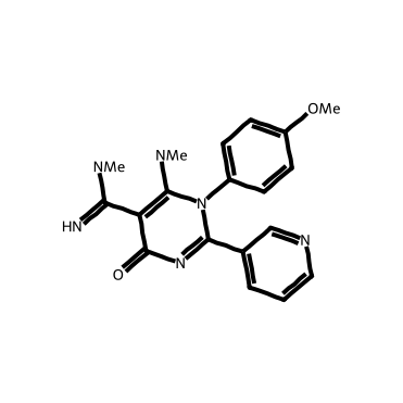 CNC(=N)c1c(NC)n(-c2ccc(OC)cc2)c(-c2cccnc2)nc1=O